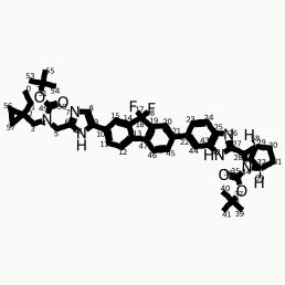 CCC1(CN(Cc2ncc(-c3ccc4c(c3)C(F)(F)c3cc(-c5ccc6nc(C7[C@H]8CC[C@H](C8)N7C(=O)OC(C)(C)C)[nH]c6c5)ccc3-4)[nH]2)C(=O)OC(C)(C)C)CC1